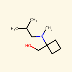 CC(C)CN(C)C1(CO)CCC1